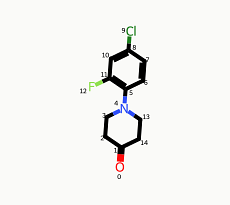 O=C1CCN(c2ccc(Cl)cc2F)CC1